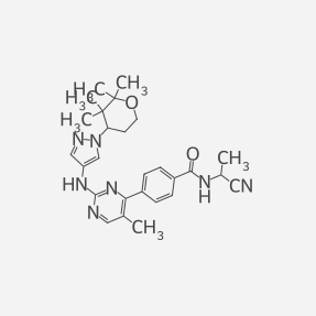 Cc1cnc(Nc2cnn(C3CCOC(C)(C)C3(C)C)c2)nc1-c1ccc(C(=O)NC(C)C#N)cc1